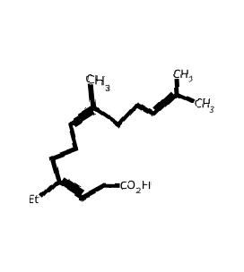 CCC(=CCC(=O)O)CCC=C(C)CCC=C(C)C